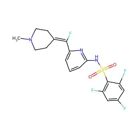 CN1CCC(=C(F)c2cccc(NS(=O)(=O)c3c(F)cc(F)cc3F)n2)CC1